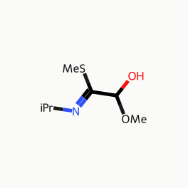 COC(O)/C(=N/C(C)C)SC